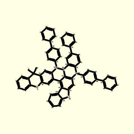 CC1(C)c2ccccc2Oc2cc3c(cc21)N(c1ccc(-c2ccccc2)cc1)B1c2cc(-c4ccccc4)ccc2N(c2ccc(-c4ccccc4)cc2)c2cc4oc5ccccc5c4c-3c21